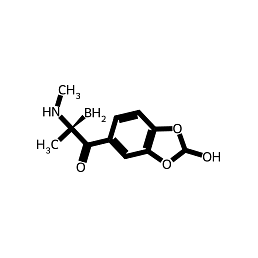 B[C@@](C)(NC)C(=O)c1ccc2c(c1)OC(O)O2